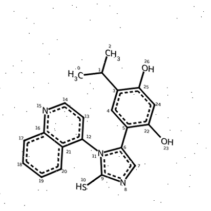 CC(C)c1cc(-c2cnc(S)n2-c2ccnc3ccccc23)c(O)cc1O